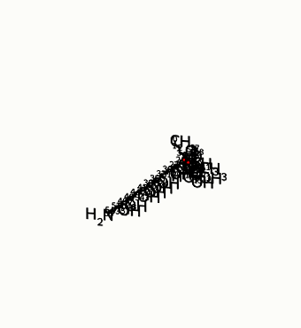 C/C=C/C=C/CC(OC1OC(C)C(O)C(O)C1O)C(C)C1(CC(O)CC(O)CC(O)/C=C/CC(O)CC(O)CC(O)CC(O)/C=C/CC(O)CC(O)CCCN)OCCO1